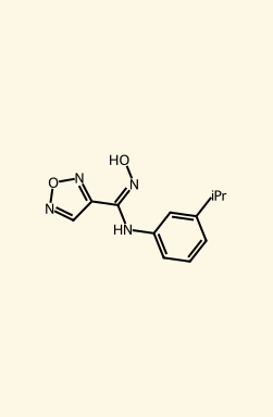 CC(C)c1cccc(NC(=NO)c2cnon2)c1